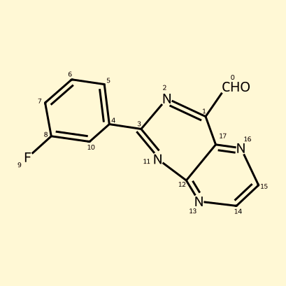 O=Cc1nc(-c2cccc(F)c2)nc2nccnc12